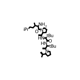 C=C(C)C1CCCN1C(=C)C(NC(=O)C(NC(=C)C1CCCN1C(=O)C(N)C(C)CCC(C)C)C(C)(C)C)C(C)(C)C